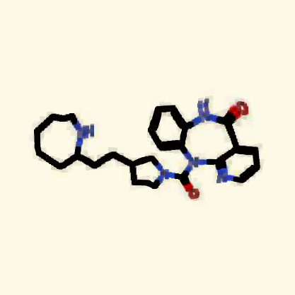 O=C1Nc2ccccc2N(C(=O)N2CCC(CCC3CCCCCN3)C2)c2ncccc21